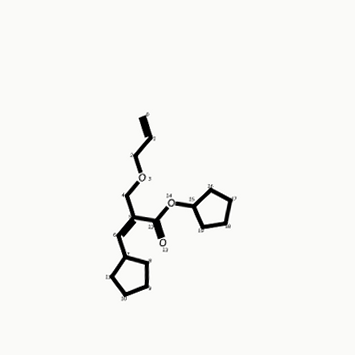 C=CCOCC(=CC1CCCC1)C(=O)OC1CCCC1